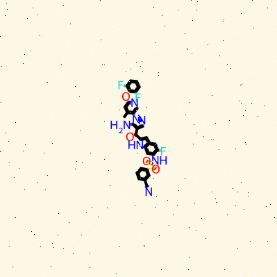 Cc1cc(Oc2c(F)cccc2F)ncc1-n1ncc(C(=O)c2cc3cc(F)c(NS(=O)(=O)c4cccc(C#N)c4)cc3[nH]2)c1N